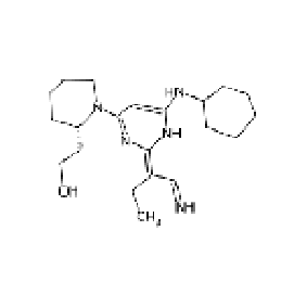 CC/C(C=N)=C1\N=C(N2CCCC[C@H]2CCO)C=C(NC2CCCCC2)N1